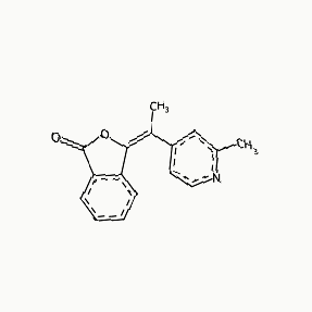 CC(=C1OC(=O)c2ccccc21)c1ccnc(C)c1